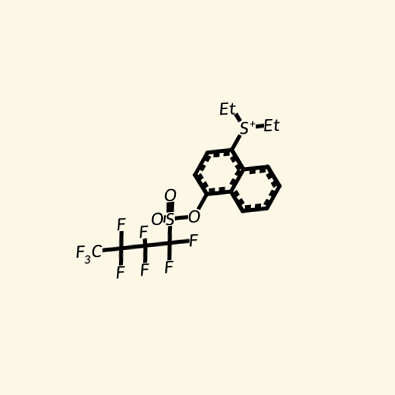 CC[S+](CC)c1ccc(OS(=O)(=O)C(F)(F)C(F)(F)C(F)(F)C(F)(F)F)c2ccccc12